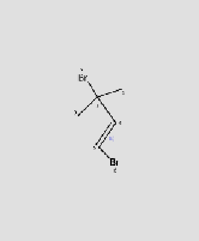 CC(C)(Br)/C=C/Br